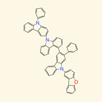 c1ccc(-c2cc3c(cc2-c2cccc4c2c2ccccc2n4-c2ccc4c(c2)c2ccccc2n4-c2ccccc2)c2ccccc2n3-c2ccc3oc4ccccc4c3c2)cc1